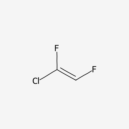 F/C=C(\F)Cl